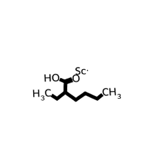 CCCCC(CC)C(=O)O.[Sc]